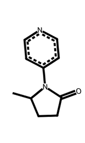 CC1CCC(=O)N1c1ccncc1